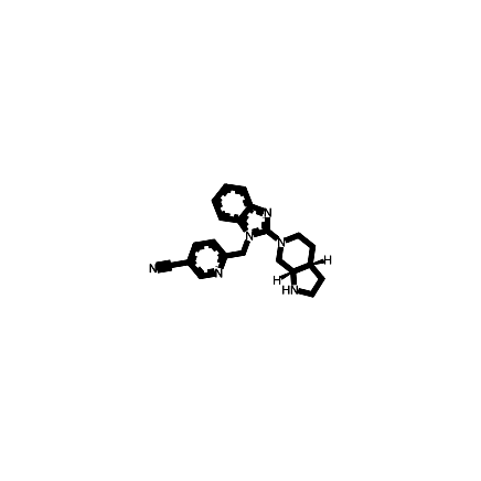 N#Cc1ccc(Cn2c(N3CC[C@@H]4CCN[C@@H]4C3)nc3ccccc32)nc1